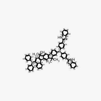 CC1(C)c2cc(N(c3ccc(-c4nc5ccccc5[nH]4)cc3)c3ccc(-c4nc5ccccc5[nH]4)cc3)ccc2-c2cc3c(cc21)-c1c(cc(N(c2ccccc2)c2ccccc2)c2ccccc12)C3(C)C